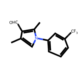 Cc1cn(-c2cccc(C(F)(F)F)c2)c(C)c1C=O